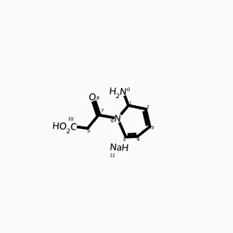 NC1C=CC=CN1C(=O)CC(=O)O.[NaH]